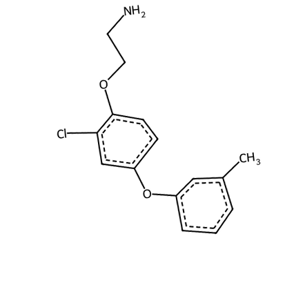 Cc1cccc(Oc2ccc(OCCN)c(Cl)c2)c1